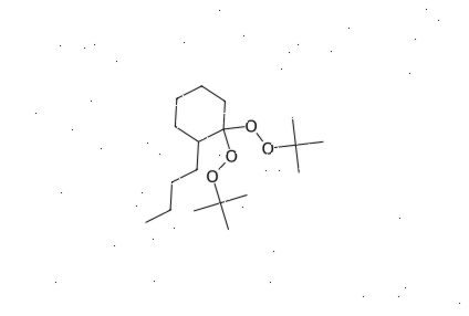 CCCCC1CCCCC1(OOC(C)(C)C)OOC(C)(C)C